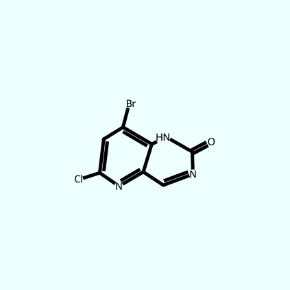 O=c1ncc2nc(Cl)cc(Br)c2[nH]1